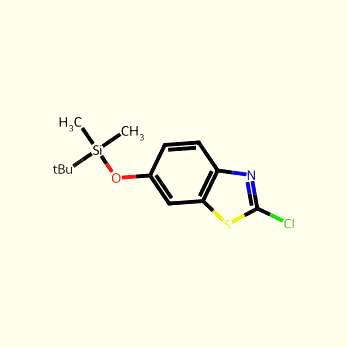 CC(C)(C)[Si](C)(C)Oc1ccc2nc(Cl)sc2c1